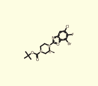 C[C@H]1CN(C(=O)OC(C)(C)C)CCN1c1nc2cc(Cl)c(F)c(Br)c2o1